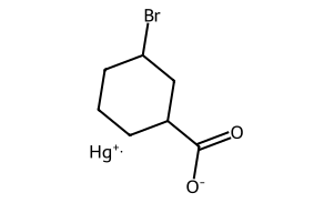 O=C([O-])C1CCCC(Br)C1.[Hg+]